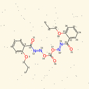 CCCOc1ccccc1C(=O)N=NOC(=O)ON=NC(=O)c1ccccc1OCCC